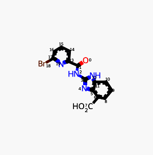 O=C(Nc1nc2c(C(=O)O)cccc2[nH]1)c1cccc(Br)n1